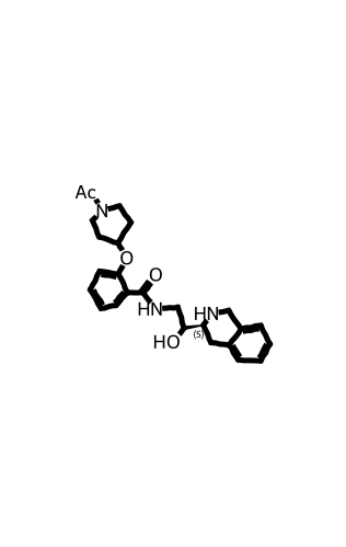 CC(=O)N1CCC(Oc2ccccc2C(=O)NCC(O)[C@@H]2Cc3ccccc3CN2)CC1